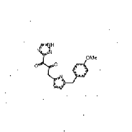 COc1ccc(Cc2csc(CC(=O)C(=O)c3nc[nH]n3)n2)cc1